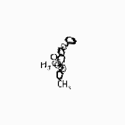 Cc1ccc(S(=O)(=O)N2CCc3cc(OCc4ccccc4)ccc3C(=O)[C@@H]2C)cc1